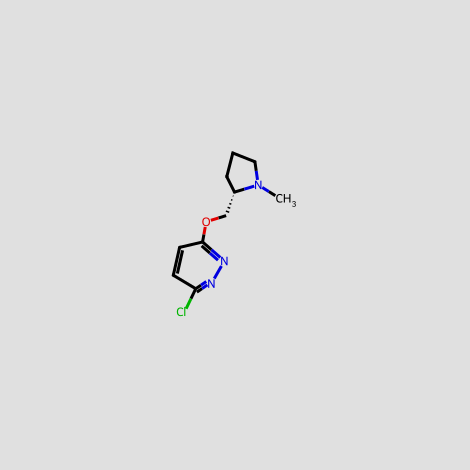 CN1CCC[C@H]1COc1ccc(Cl)nn1